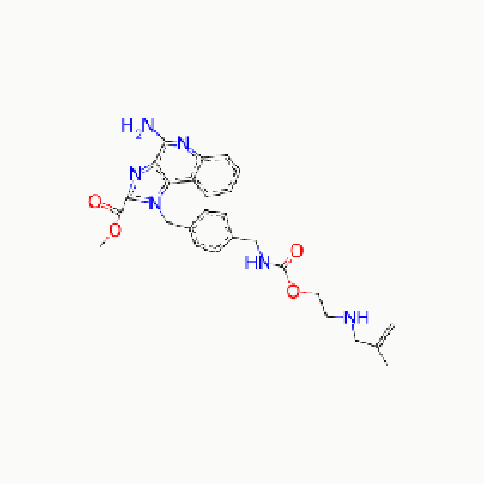 C=C(C)CNCCOC(=O)NCc1ccc(Cn2c(C(=O)OC)nc3c(N)nc4ccccc4c32)cc1